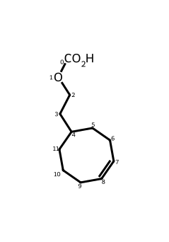 O=C(O)OCCC1CCC=CCCC1